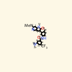 CNc1cc2c(cn1)cc(-c1cc(NC(=O)c3cc(N(C)C)cc(C(F)(F)F)c3)ccc1C)c(=O)n2C